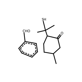 CC1CCC(C(C)(C)S)C(=O)C1.O=Cc1ccccc1